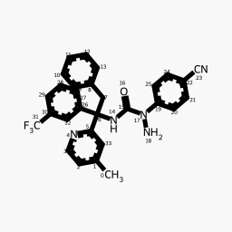 Cc1ccnc(C(Cc2ccccc2)(NC(=O)N(N)c2ccc(C#N)cc2)c2cccc(C(F)(F)F)c2)c1